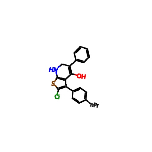 CCCc1ccc(-c2c(Cl)sc3c2C(O)=C(c2ccccc2)CN3)cc1